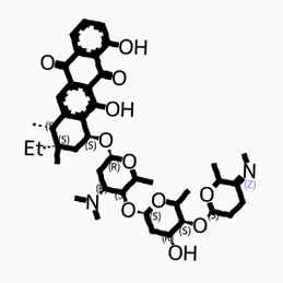 CC[C@@]1(C)C[C@H](O[C@H]2C[C@@H](N(C)C)[C@H](O[C@H]3C[C@@H](O)[C@H](O[C@H]4CC/C(=N/C)C(C)O4)C(C)O3)C(C)O2)c2c(cc3c(c2O)C(=O)c2c(O)cccc2C3=O)[C@H]1C